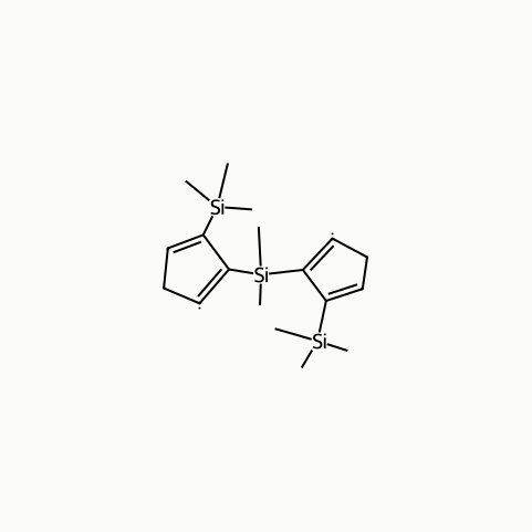 C[Si](C)(C)C1=CC[C]=C1[Si](C)(C)C1=[C]CC=C1[Si](C)(C)C